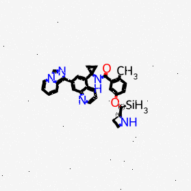 Cc1ccc(O[C@@H]([SiH3])[C@@H]2CCN2)cc1C(=O)NC1(c2cc(-c3ncn4ccccc34)cc3ncccc23)CC1